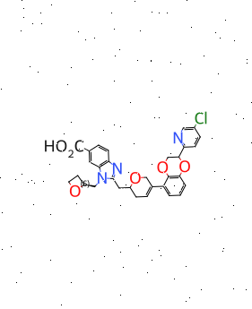 O=C(O)c1ccc2nc(CC3CC=C(c4cccc5c4OCC(c4ccc(Cl)cn4)O5)CO3)n(C[C@@H]3CCO3)c2c1